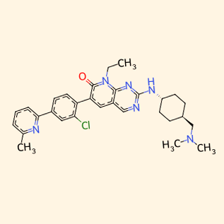 CCn1c(=O)c(-c2ccc(-c3cccc(C)n3)cc2Cl)cc2cnc(N[C@H]3CC[C@H](CN(C)C)CC3)nc21